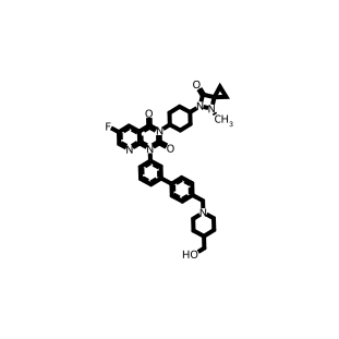 CN1N(C2CCC(n3c(=O)c4cc(F)cnc4n(-c4cccc(-c5ccc(CN6CCC(CO)CC6)cc5)c4)c3=O)CC2)C(=O)C12CC2